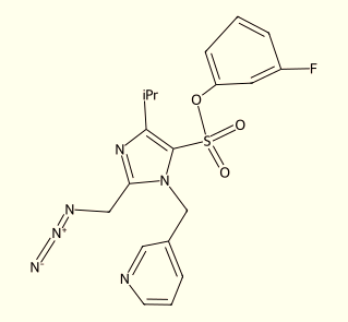 CC(C)c1nc(CN=[N+]=[N-])n(Cc2cccnc2)c1S(=O)(=O)Oc1cccc(F)c1